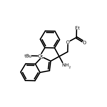 CCC(=O)OCC(N)(c1cc2ccccc2s1)c1ccccc1OC(C)(C)C